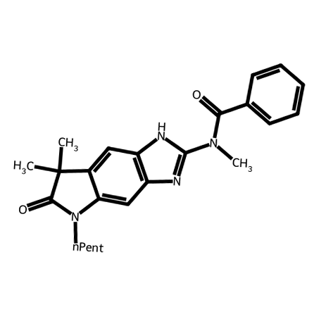 CCCCCN1C(=O)C(C)(C)c2cc3[nH]c(N(C)C(=O)c4ccccc4)nc3cc21